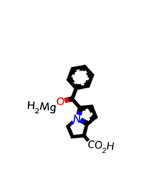 O=C(c1ccccc1)c1ccc2n1CCC2C(=O)O.[MgH2]